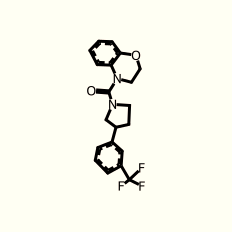 O=C(N1CCC(c2cccc(C(F)(F)F)c2)C1)N1CCOc2ccccc21